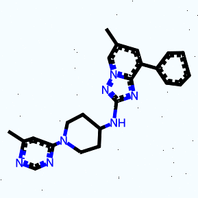 Cc1cc(-c2ccccc2)c2nc(NC3CCN(c4cc(C)ncn4)CC3)nn2c1